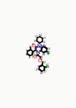 Cc1ccccc1C(C(=O)NC1CCCCC1)N(C(=O)COCc1ccccc1F)c1cccc(F)c1